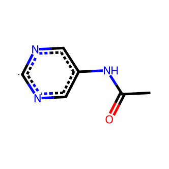 CC(=O)Nc1cn[c]nc1